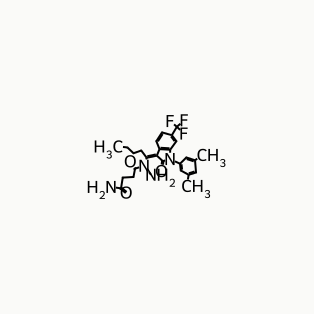 CCCC/C(=C1/C(=O)N(c2cc(C)cc(C)c2)c2cc(C(F)(F)F)ccc21)N(N)C(=O)CCC(N)=O